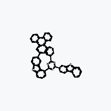 c1ccc(-c2nc(-c3ccc4c(c3)sc3ccccc34)nc(-c3cccc4sc5ccc(-c6ccc7c8ccccc8c8ccccc8c7c6)cc5c34)n2)cc1